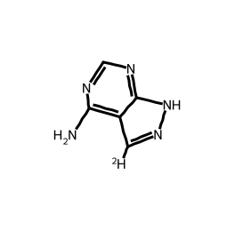 [2H]c1n[nH]c2ncnc(N)c12